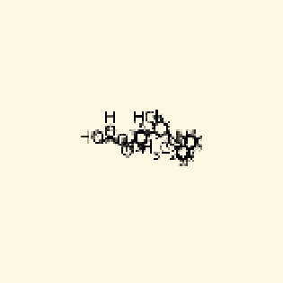 C[C@@H](NC1CCCC(c2ccc(C(=O)OCC(O)CO)cc2)C1)c1cccc2ccccc12.Cl